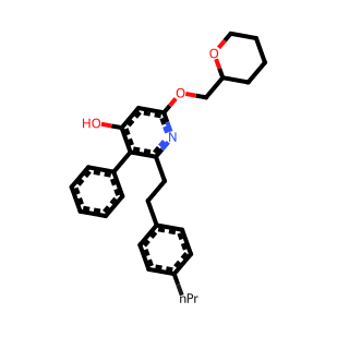 CCCc1ccc(CCc2nc(OCC3CCCCO3)cc(O)c2-c2ccccc2)cc1